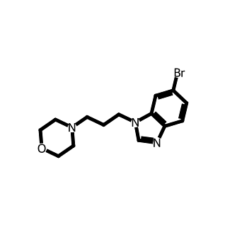 Brc1ccc2ncn(CCCN3CCOCC3)c2c1